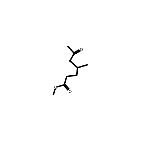 COC(=O)CCC(C)CC(C)=O